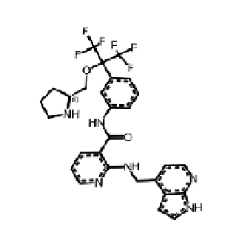 O=C(Nc1cccc(C(OC[C@@H]2CCCN2)(C(F)(F)F)C(F)(F)F)c1)c1cccnc1NCc1ccnc2[nH]ccc12